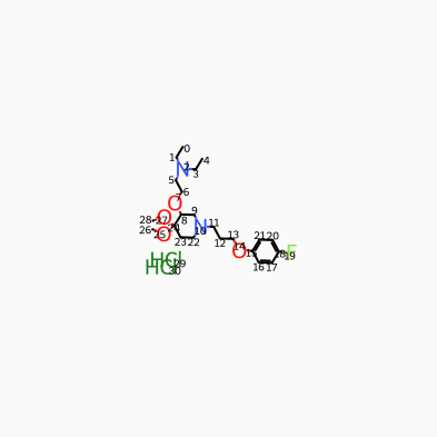 CCN(CC)CCOC1CN(CCCOc2ccc(F)cc2)CCC1(OC)OC.Cl.Cl